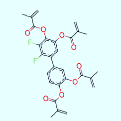 C=C(C)C(=O)Oc1ccc(-c2cc(OC(=O)C(=C)C)c(OC(=O)C(=C)C)c(F)c2F)cc1OC(=O)C(=C)C